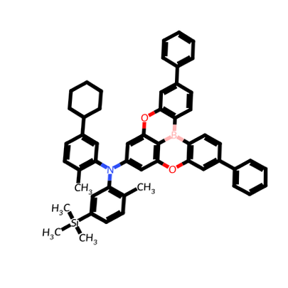 Cc1ccc(C2CCCCC2)cc1N(c1cc2c3c(c1)Oc1cc(-c4ccccc4)ccc1B3c1ccc(-c3ccccc3)cc1O2)c1cc([Si](C)(C)C)ccc1C